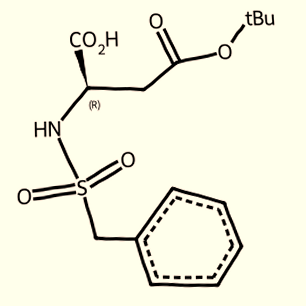 CC(C)(C)OC(=O)C[C@@H](NS(=O)(=O)Cc1ccccc1)C(=O)O